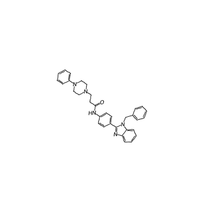 O=C(CCN1CCN(c2ccccc2)CC1)Nc1ccc(-c2nc3ccccc3n2Cc2ccccc2)cc1